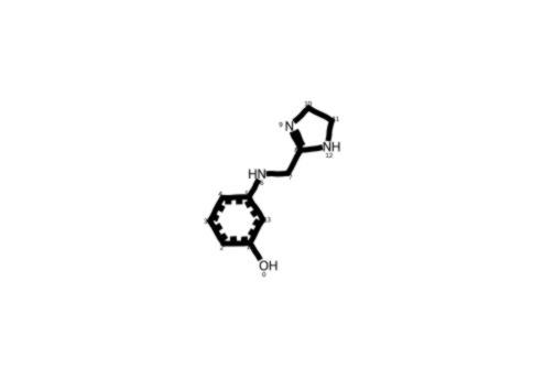 Oc1cccc(NCC2=NCCN2)c1